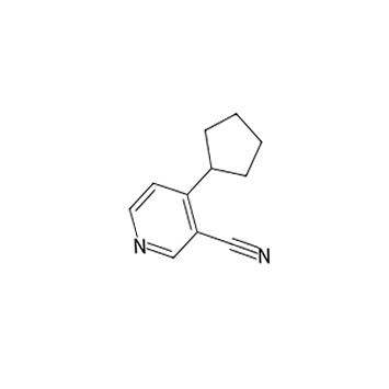 N#Cc1cnccc1C1CCCC1